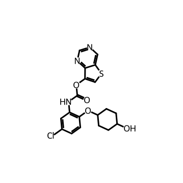 O=C(Nc1cc(Cl)ccc1OC1CCC(O)CC1)Oc1csc2cncnc12